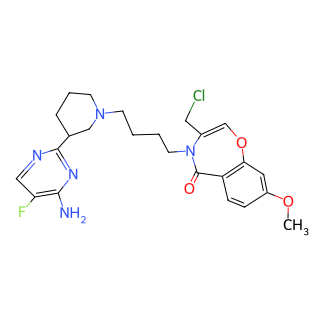 COc1ccc2c(c1)OC=C(CCl)N(CCCCN1CCCC(c3ncc(F)c(N)n3)C1)C2=O